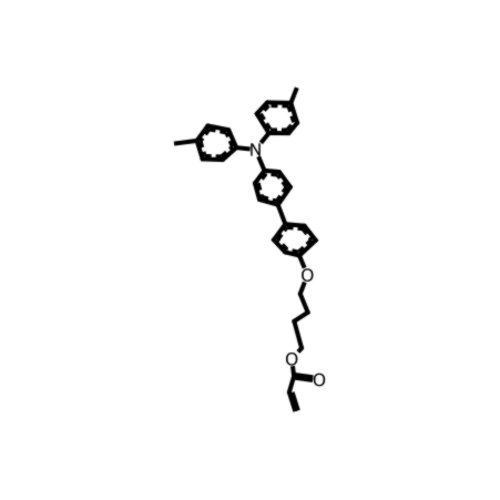 C=CC(=O)OCCCCOc1ccc(-c2ccc(N(c3ccc(C)cc3)c3ccc(C)cc3)cc2)cc1